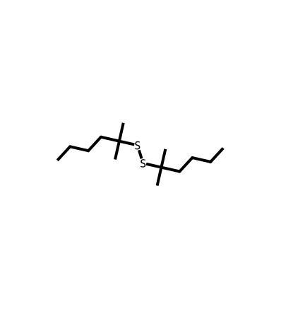 CCCCC(C)(C)SSC(C)(C)CCCC